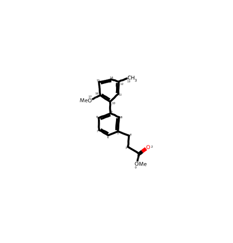 COC(=O)CCc1cccc(-c2cc(C)ccc2OC)c1